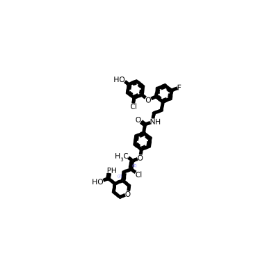 C/C(Oc1ccc(C(=O)NCCc2cc(F)ccc2Oc2ccc(O)cc2Cl)cc1)=C(Cl)\C=C1/COCCC1C(O)=P